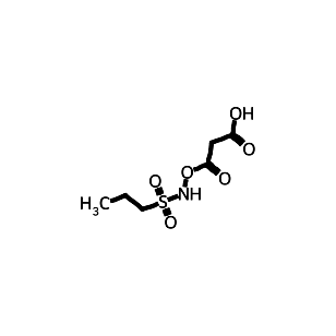 CCCS(=O)(=O)NOC(=O)CC(=O)O